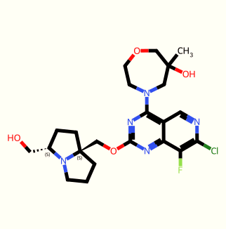 CC1(O)COCCN(c2nc(OC[C@@]34CCCN3[C@H](CO)CC4)nc3c(F)c(Cl)ncc23)C1